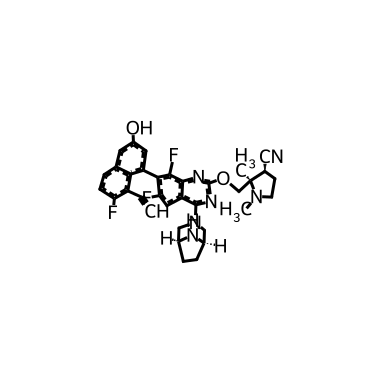 C#Cc1c(F)ccc2cc(O)cc(-c3c(F)cc4c(N5C[C@H]6CC[C@@H](C5)N6)nc(OC[C@@]5(C)[C@@H](C#N)CCN5C)nc4c3F)c12